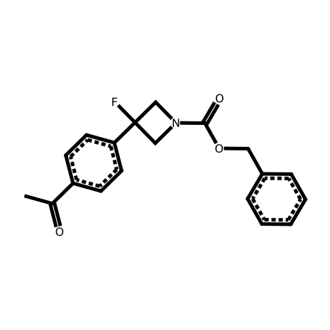 CC(=O)c1ccc(C2(F)CN(C(=O)OCc3ccccc3)C2)cc1